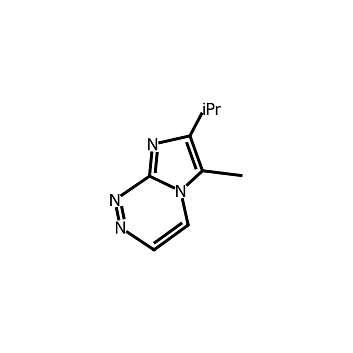 Cc1c(C(C)C)nc2nnccn12